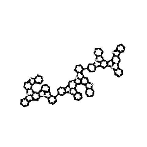 c1ccc2c(c1)oc1c2cc2c3ccccc3n3c4cc5c6ccc(-c7cccc8c7c7cc9oc%10ccccc%10c9c9c%10c%11c%12ccccc%12n%12c%13cc(-c%14cccc%15c%14c%14cccc%16c%17c%18c%19c%20c(ccc%19n%19c%21ccccc%21c(cc%17n%15c%14%16)c%18%19)oc%14ccccc%14%20)ccc%13c(cc%10n8c79)c%11%12)cc6n6c7ccccc7c(c4c1c23)c56